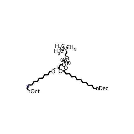 CCCCCCCC/C=C\CCCCCCCCOC[C@H](COP(=O)([O-])OCC[N+](C)(C)C)OC(=O)CCCCCCCCCCCCCCCCCCCCC